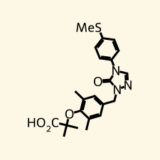 CSc1ccc(-n2cnn(Cc3cc(C)c(OC(C)(C)C(=O)O)c(C)c3)c2=O)cc1